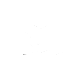 CCN.CCOP(=O)(OCC)OCCO